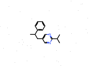 CC(C)c1ncc(CC(C)c2ccccc2)cn1